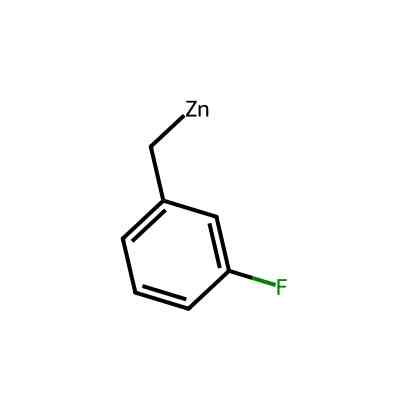 Fc1cccc([CH2][Zn])c1